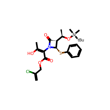 C=C(Cl)COC(=O)/C(=C(/C)O)N1C(=O)[C@H]([C@@H](C)O[Si](C)(C)C(C)(C)C)[C@H]1Sc1ccccc1